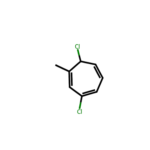 CC1=CC(Cl)=CC=CC1Cl